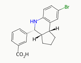 O=C(O)c1cccc([C@@H]2Nc3ccc(Br)cc3[C@@H]3CCC[C@@H]32)c1